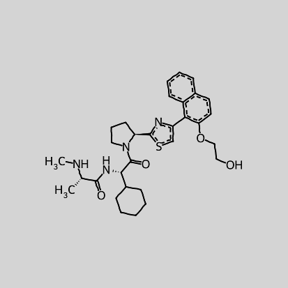 CN[C@@H](C)C(=O)N[C@H](C(=O)N1CCC[C@H]1c1nc(-c2c(OCCO)ccc3ccccc23)cs1)C1CCCCC1